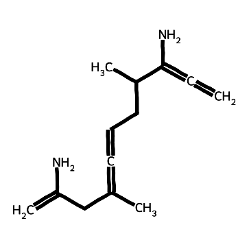 C=C=C(N)C(C)CC=C=C(C)CC(=C)N